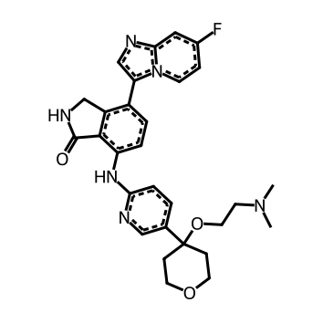 CN(C)CCOC1(c2ccc(Nc3ccc(-c4cnc5cc(F)ccn45)c4c3C(=O)NC4)nc2)CCOCC1